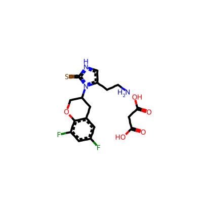 NCCc1c[nH]c(=S)n1C1COc2c(F)cc(F)cc2C1.O=C(O)CC(=O)O